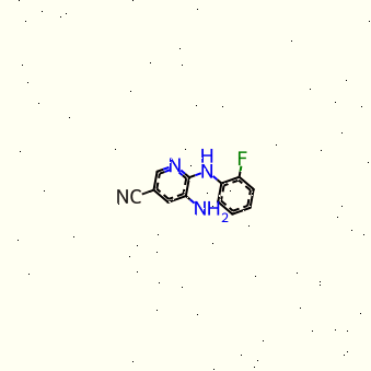 N#Cc1cnc(Nc2ccccc2F)c(N)c1